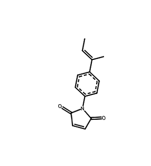 CC=C(C)c1ccc(N2C(=O)C=CC2=O)cc1